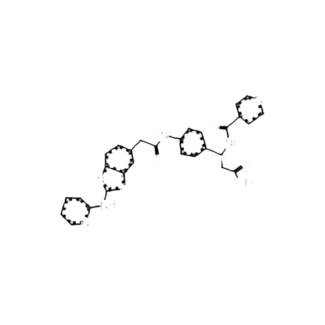 O=C(O)C[C@H](NC(=O)c1ccncc1)c1ccc(NC(=O)Cc2ccc3nc(Nc4ccccn4)oc3c2)cc1